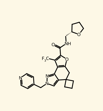 O=C(NC[C@@H]1CCCO1)c1oc2c(c1C(F)(F)F)-c1nn(Cc3ccncc3)cc1C1(CCC1)C2